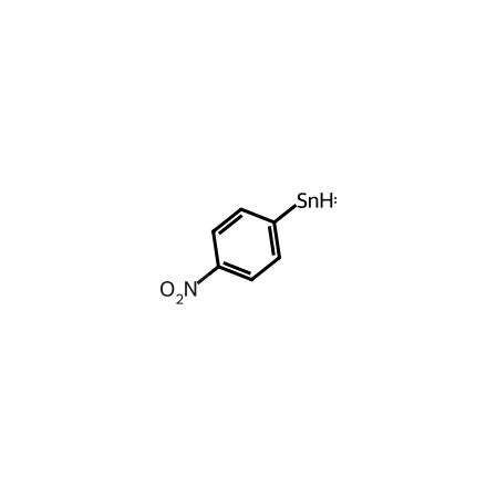 O=[N+]([O-])c1cc[c]([SnH])cc1